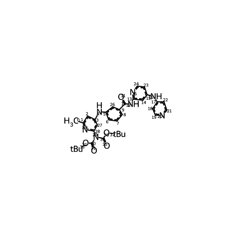 Cc1cc(Nc2cccc(C(=O)Nc3cc(Nc4ccncc4)ccn3)c2)cc(N(C(=O)OC(C)(C)C)C(=O)OC(C)(C)C)n1